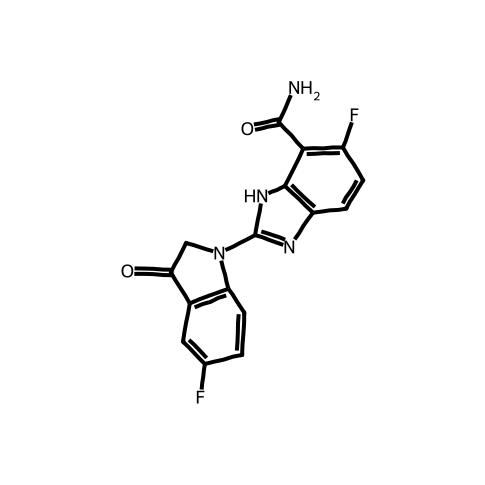 NC(=O)c1c(F)ccc2nc(N3CC(=O)c4cc(F)ccc43)[nH]c12